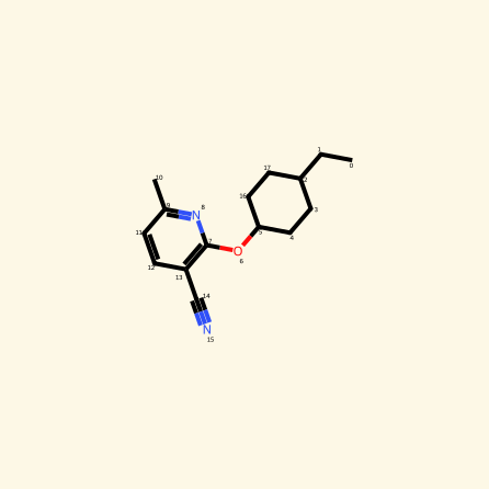 CCC1CCC(Oc2nc(C)ccc2C#N)CC1